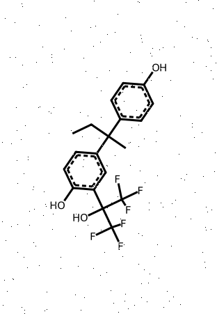 CCC(C)(c1ccc(O)cc1)c1ccc(O)c(C(O)(C(F)(F)F)C(F)(F)F)c1